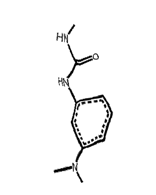 CNC(=O)Nc1cccc(N(C)C)c1